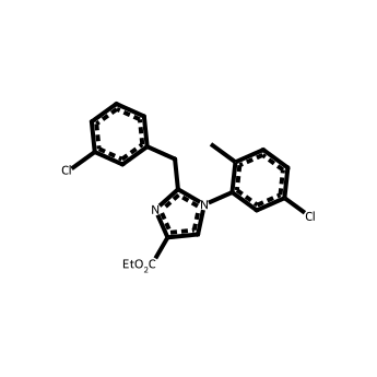 CCOC(=O)c1cn(-c2cc(Cl)ccc2C)c(Cc2cccc(Cl)c2)n1